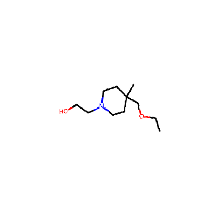 CCOCC1(C)CCN(CCO)CC1